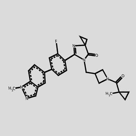 Cn1ncc2cc(-c3ccc(C4=NC5(CC5)C(=O)N4CC4CN(C(=O)C5(C)CC5)C4)c(F)c3)ccc21